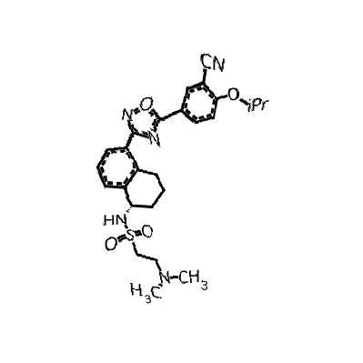 CC(C)Oc1ccc(-c2nc(-c3cccc4c3CCC[C@@H]4NS(=O)(=O)CCN(C)C)no2)cc1C#N